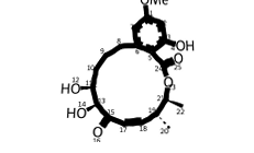 COc1cc(O)c2c(c1)CCC[C@H](O)[C@H](O)C(=O)/C=C\[C@@H](C)[C@H](C)OC2=O